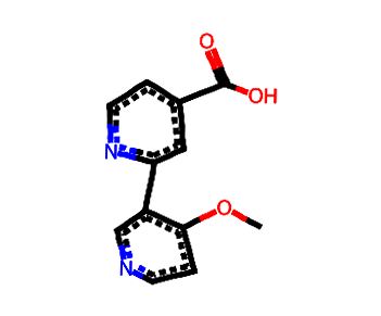 COc1ccncc1-c1cc(C(=O)O)ccn1